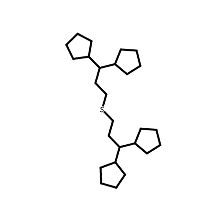 C1CCC(C(CCSCCC(C2CCCC2)C2CCCC2)C2CCCC2)C1